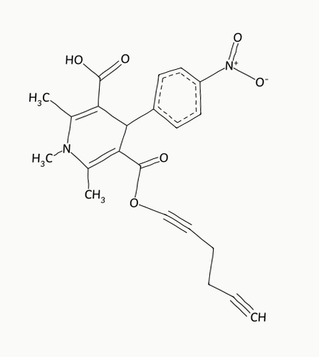 C#CCCC#COC(=O)C1=C(C)N(C)C(C)=C(C(=O)O)C1c1ccc([N+](=O)[O-])cc1